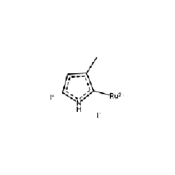 Cc1cc[nH][c]1[Ru+2].[I-].[I-]